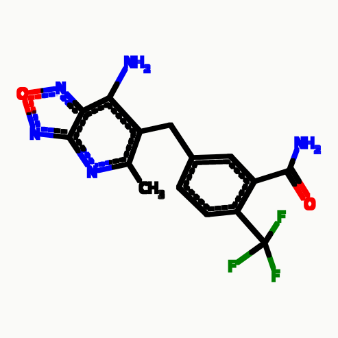 Cc1nc2nonc2c(N)c1Cc1ccc(C(F)(F)F)c(C(N)=O)c1